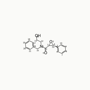 O=C(C1O[C@H]1c1ccccc1)N(CCO)Cc1ccccc1